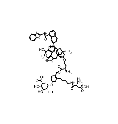 Cc1[nH]nc(CC23CC4(C)CC(C)(C2)CC(OCCN(C)C(=O)OCc2ccc(O[C@@H]5O[C@H](C(=O)O)[C@@H](O)[C@H](O)[C@H]5O)cc2CCCCNC(=O)[C@@H](N)CS(=O)(=O)O)(C4)C3)c1-c1ccc(-c2ccc3cccc(C(=O)Nc4nc5ccccc5s4)c3c2)nc1C(=O)O